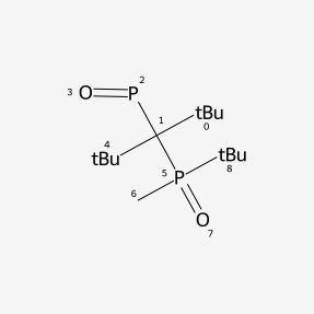 CC(C)(C)C(P=O)(C(C)(C)C)P(C)(=O)C(C)(C)C